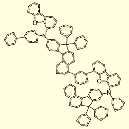 c1ccc(-c2ccc(N(c3ccc4c(c3)C(c3ccccc3)(c3ccccc3)c3ccc5c(-c6cccc(-c7cccc8c7oc7c(N(c9ccccc9)c9ccc%10c(c9)C(c9ccccc9)(c9ccccc9)c9ccc%11ccccc%11c9-%10)cccc78)c6)cccc5c3-4)c3cccc4c3oc3ccccc34)cc2)cc1